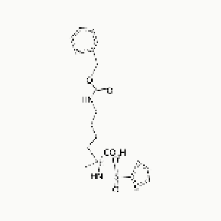 C[C@@](CCCCNC(=O)OCc1ccccc1)(NS(=O)(=O)c1cccs1)C(=O)O